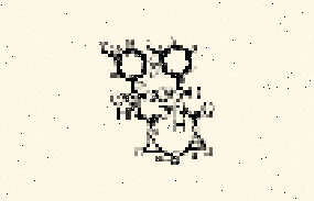 Cc1cccc(S(=O)(=O)NC(=O)N2CC2SC2CN2C(=O)NS(=O)(=O)c2cccc(C)c2)c1